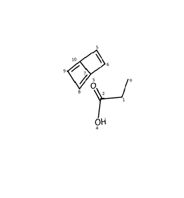 CCC(=O)O.c1cc2ccc1-2